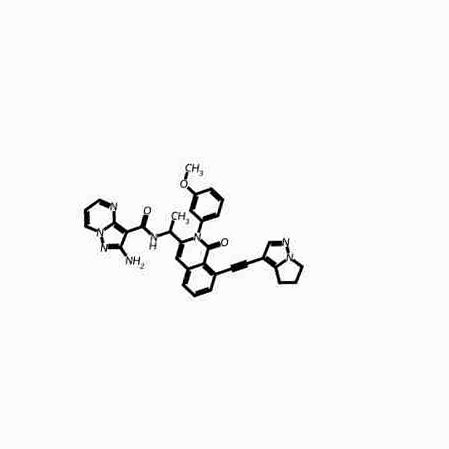 COc1cccc(-n2c(C(C)NC(=O)c3c(N)nn4cccnc34)cc3cccc(C#Cc4cnn5c4CCC5)c3c2=O)c1